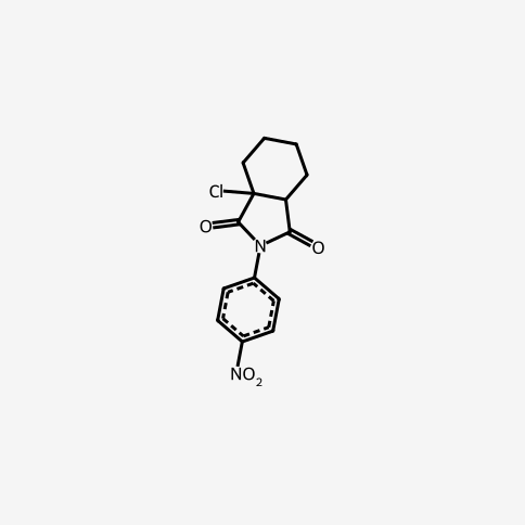 O=C1C2CCCCC2(Cl)C(=O)N1c1ccc([N+](=O)[O-])cc1